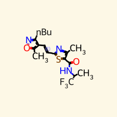 CCCCc1noc(C)c1/C=C/c1nc(C)c(C(=O)NC(C)C(F)(F)F)s1